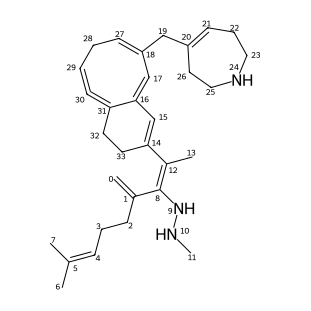 C=C(CCC=C(C)C)/C(NNC)=C(/C)C1=C/C2=C/C(CC3=CCCNCC3)=C\CC=C=C2CC1